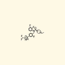 CCN1CCN(C(=O)N(Cc2ccc(-c3nnc(C(F)F)o3)cc2F)c2cccc(F)c2F)CC1